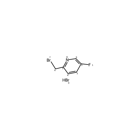 Br.Fc1ccc(CBr)nc1